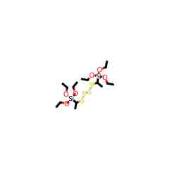 CCO[Si](OCC)(OCC)C(C)SSSSC(C)[Si](OCC)(OCC)OCC